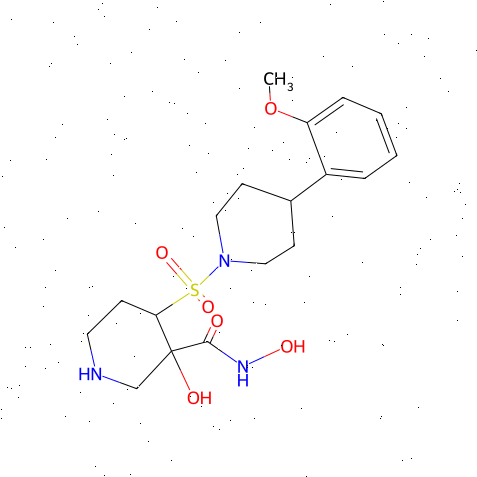 COc1ccccc1C1CCN(S(=O)(=O)C2CCNCC2(O)C(=O)NO)CC1